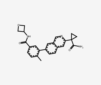 Cc1ccc(C(=O)NC2COC2)cc1-c1ccc2cc(C3(C(N)=O)CC3)ncc2c1